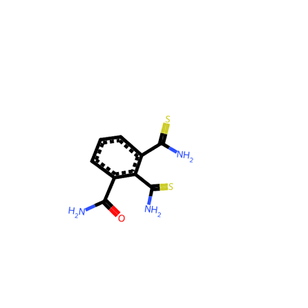 NC(=O)c1cccc(C(N)=S)c1C(N)=S